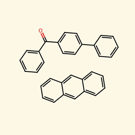 O=C(c1ccccc1)c1ccc(-c2ccccc2)cc1.c1ccc2cc3ccccc3cc2c1